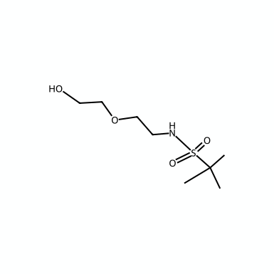 CC(C)(C)S(=O)(=O)NCCOCCO